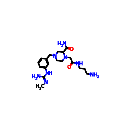 C/N=C(\N)Nc1cccc(CN2CCN(CC(=O)NCCCN)C(C(N)=O)C2)c1